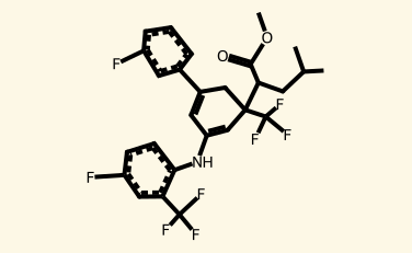 COC(=O)C(CC(C)C)C1(C(F)(F)F)C=C(Nc2ccc(F)cc2C(F)(F)F)C=C(c2cccc(F)c2)C1